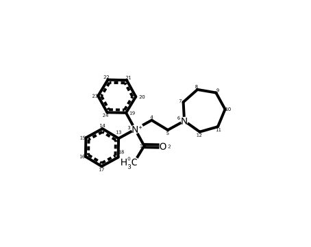 CC(=O)[N+](CCN1CCCCCC1)(c1ccccc1)c1ccccc1